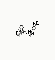 O=C(O[C@@H](CNc1ncnc(-c2ccc(C(F)(F)F)cc2)n1)c1ccccc1)C(F)(F)F